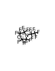 FC(F)(F)C(F)(F)N1C(F)(F)C(F)(F)OC(F)(F)C1(F)F